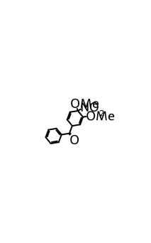 COC1=CC(C(=O)c2ccccc2)C=CC1(OC)[N+](=O)[O-]